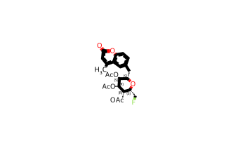 CC(=O)O[C@@H]1[C@@H](OC(C)=O)[C@H](Cc2ccc3oc(=O)cc(C)c3c2)O[C@H](CF)[C@@H]1OC(C)=O